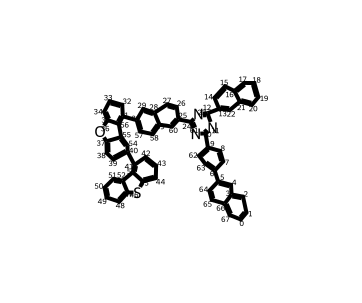 c1ccc2cc(-c3ccc(-c4nc(-c5ccc6ccccc6c5)nc(-c5ccc6cc(-c7cccc8oc9ccc(-c%10cccc%11sc%12ccccc%12c%10%11)cc9c78)ccc6c5)n4)cc3)ccc2c1